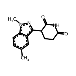 Cc1ccc2c(c1)c(C1CCC(=O)NC1=O)nn2C